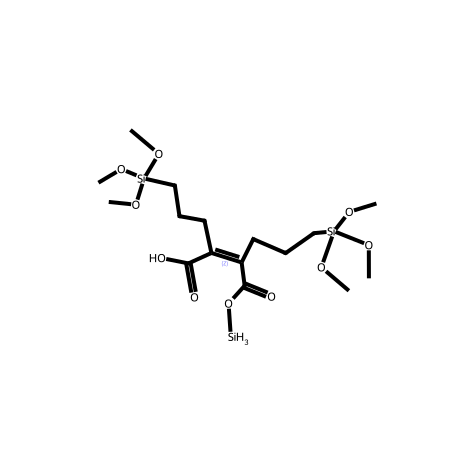 CO[Si](CCC/C(C(=O)O)=C(\CCC[Si](OC)(OC)OC)C(=O)O[SiH3])(OC)OC